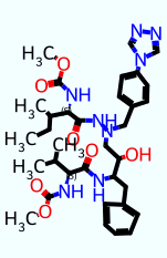 CCC(C)[C@H](NC(=O)OC)C(=O)NN(Cc1ccc(-n2cnnc2)cc1)CC(O)C(Cc1ccccc1)NC(=O)[C@@H](NC(=O)OC)C(C)C